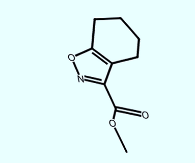 COC(=O)c1noc2c1CCCC2